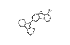 Brc1cccc2c1oc1ccc(-n3c4ccccc4c4ccccc43)cc12